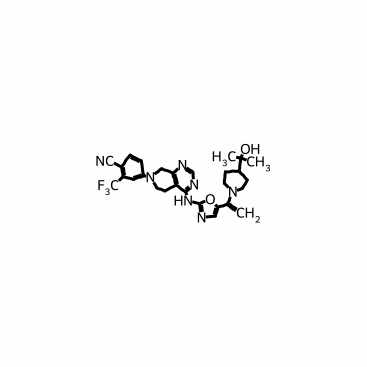 C=C(c1cnc(Nc2ncnc3c2CCN(c2ccc(C#N)c(C(F)(F)F)c2)C3)o1)N1CCC(C(C)(C)O)CC1